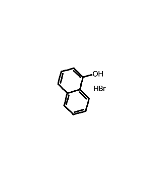 Br.Oc1cccc2ccccc12